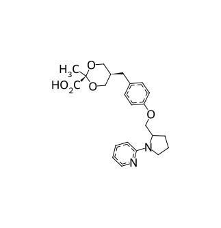 C[C@]1(C(=O)O)OC[C@@H](Cc2ccc(OCC3CCCN3c3ccccn3)cc2)CO1